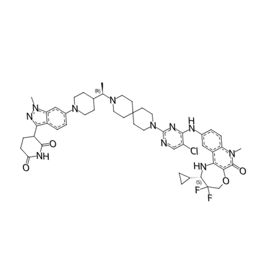 C[C@H](C1CCN(c2ccc3c(C4CCC(=O)NC4=O)nn(C)c3c2)CC1)N1CCC2(CCN(c3ncc(Cl)c(Nc4ccc5c(c4)c4c(c(=O)n5C)OCC(F)(F)[C@H](C5CC5)N4)n3)CC2)CC1